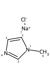 Cn1ccnc1.[Cl-].[Na+]